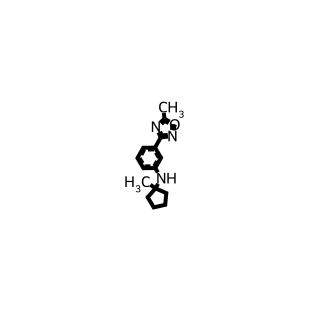 Cc1nc(-c2cccc(NC3(C)CCCC3)c2)no1